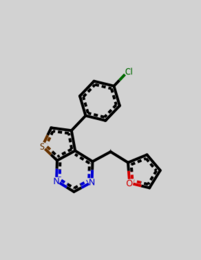 Clc1ccc(-c2csc3ncnc([CH]c4ccco4)c23)cc1